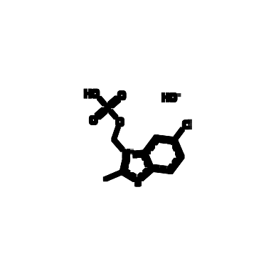 Cc1sc2ccc(Cl)cc2[n+]1COS(=O)(=O)O.[OH-]